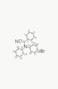 N#CC(c1ccccc1)N(c1ccccc1)c1ccc(Br)cc1